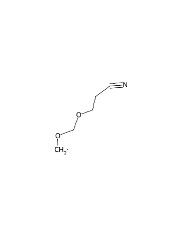 [CH2]OCOCCC#N